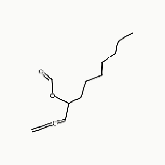 C=C=CC(CCCCCCC)OC=O